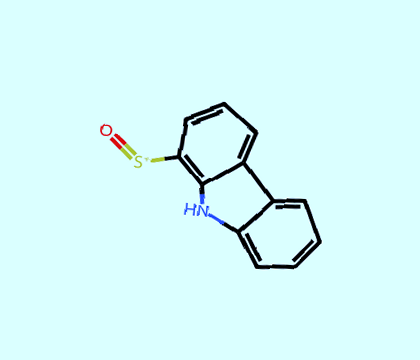 O=[S+]c1cccc2c1[nH]c1ccccc12